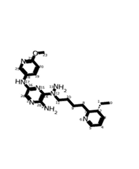 CC[C@@H]1C=CC=NC1CCCCN(N)c1nc(Nc2ccc(OC)nc2)cnc1N